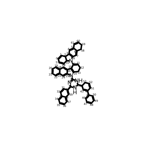 C1=CC2c3cc4c(cc3N(C3=CCCc5c3c3cc6ccccc6cc3n5C3=NC(c5ccc6ccccc6c5)NC(C5C=C(c6ccccc6)C=CC5)N3)C2C=C1)CCC=C4